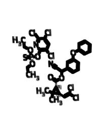 CC1(C)[C@H](C=C(Cl)Cl)[C@H]1C(=O)OC(C#N)c1cccc(Oc2ccccc2)c1.CCOP(=S)(OCC)Oc1nc(Cl)c(Cl)cc1Cl